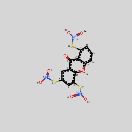 O=c1c2cc(S[N+](=O)[O-])cc(S[N+](=O)[O-])c2oc2cccc(S[N+](=O)[O-])c12